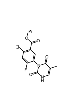 Cc1c[nH]c(=O)n(-c2cc(C(=O)OC(C)C)c(Cl)cc2F)c1=O